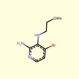 COCCNc1c(Br)ccnc1N